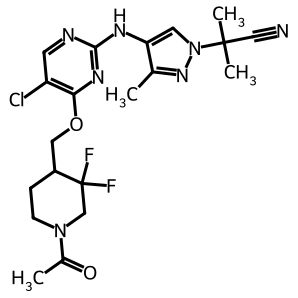 CC(=O)N1CCC(COc2nc(Nc3cn(C(C)(C)C#N)nc3C)ncc2Cl)C(F)(F)C1